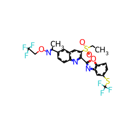 CCS(=O)(=O)c1cc2cc(C(C)=NOCC(F)(F)F)ccc2nc1-c1nc2cc(SC(F)(F)F)ccc2o1